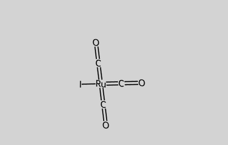 O=[C]=[Ru]([I])(=[C]=O)=[C]=O